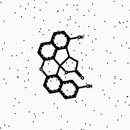 O=C1CC2c3c(O)ccc4ccc5c(c34)C2(O1)c1c(ccc2ccc(O)cc12)O5